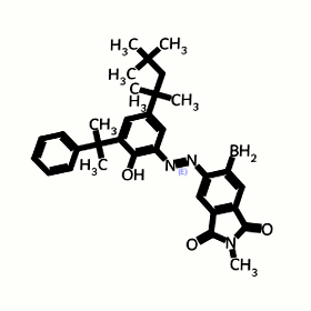 Bc1cc2c(cc1/N=N/c1cc(C(C)(C)CC(C)(C)C)cc(C(C)(C)c3ccccc3)c1O)C(=O)N(C)C2=O